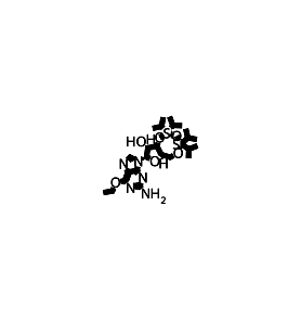 CCOc1nc(N)nc2c1ncn2[C@@H]1O[C@@H]2CO[Si](C(C)C)(C(C)C)O[Si](C(C)C)(C(C)C)O[C@H]2[C@H]1O